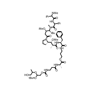 CC[C@H](C)C([C@@H](CC(=O)N1CCC[C@H]1[C@H](OC)[C@@H](C)C(=O)N[C@@H](Cc1ccccc1)C(=O)NCCCOC(=O)[C@H](C)NC(=O)CCNC(=O)OCC(OC(C)CO)OC(C)(C)C)OC)N(C)C(=O)C(NC(=O)C(NC)C(C)C)C(C)C